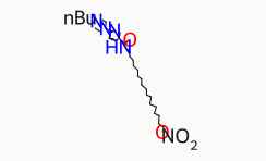 CCCCN1CCN(c2ccc(C(=O)NCCCCCCCCCCCCCCCCCO[N+](=O)[O-])cn2)CC1